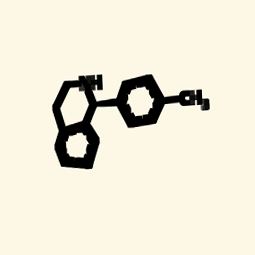 Cc1ccc([C@@H]2NCCc3ccccc32)cc1